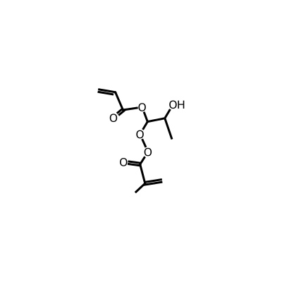 C=CC(=O)OC(OOC(=O)C(=C)C)C(C)O